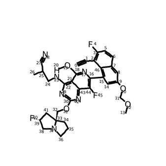 C#Cc1c(F)ccc2cc(OCOC)cc(-c3nc(OC)c4c(NCC(C)C#N)nc(OC[C@@]56CCCN5C[C@H](F)C6)nc4c3F)c12